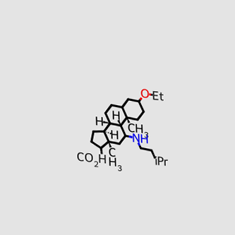 CCOC1CC[C@@]2(C)C(CC[C@@H]3[C@H]2C(NCCC(C)C)C[C@]2(C)C(C(=O)O)CC[C@@H]32)C1